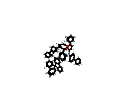 c1ccc(-c2ccc(N(c3ccc(-c4ccccc4)cc3)c3ccccc3-c3ccccc3-c3ccc4c5ccccc5n(-c5ccc6c(c5)C(c5ccccc5)(c5ccccc5)c5ccccc5-6)c4c3)cc2)cc1